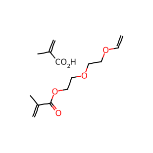 C=C(C)C(=O)O.C=COCCOCCOC(=O)C(=C)C